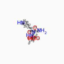 CC[C@H](C)S(=O)(=O)N[C@@H](CC(=O)O)N(C(=O)CN)C(=O)CCCC1CCNCC1